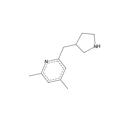 Cc1cc(C)nc(CC2CCNC2)c1